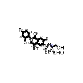 CCN(C=O)/C(CO)=N\N(C)c1cc2c(C(C)C)cn(-c3ccc(F)cc3C)c(=O)c2cc1F